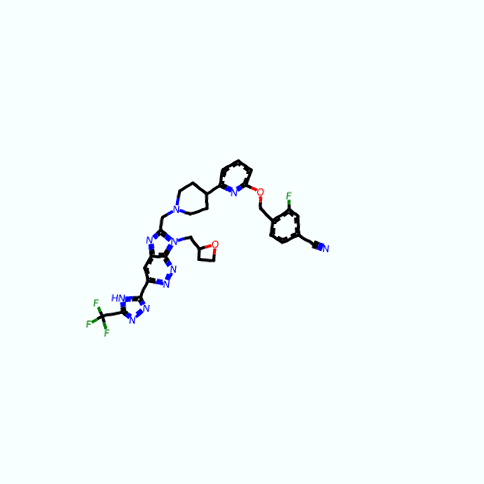 N#Cc1ccc(COc2cccc(C3CCN(Cc4nc5cc(-c6nnc(C(F)(F)F)[nH]6)nnc5n4CC4CCO4)CC3)n2)c(F)c1